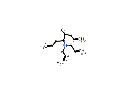 C=CCC(C)C(CC=C)N(CC=C)CC=C